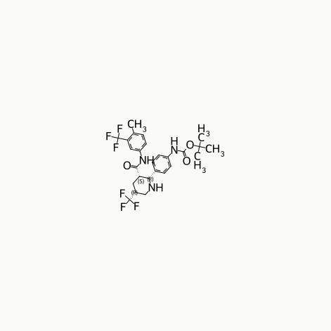 Cc1ccc(NC(=O)[C@H]2C[C@@H](C(F)(F)F)CN[C@H]2c2ccc(NC(=O)OC(C)(C)C)cc2)cc1C(F)(F)F